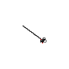 CCCCCCCCCCCCCC=CCCCCCCCC(CC)(P(=O)=O)[N+](C)(C)C